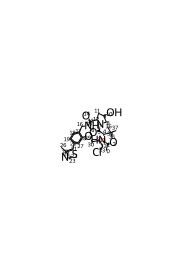 CC(=O)NC(C(=O)N1CC(O)CC1C(=O)NCc1ccc(-c2scnc2C)cc1OCCCCl)C(C)(C)C